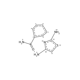 NC(=O)c1ccccc1.Nc1csc(N)n1